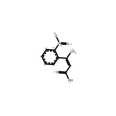 C/C(=C/C(=O)O)c1ccccc1[N+](=O)[O-]